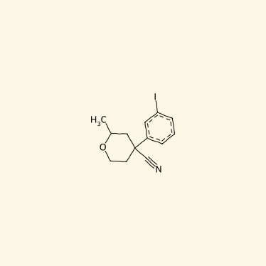 CC1CC(C#N)(c2cccc(I)c2)CCO1